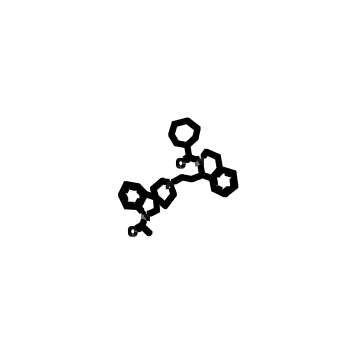 CC(=O)N1CC2(CCN(CCC3c4ccccc4CCN3C(=O)C3CCCCCC3)CC2)c2ccccc21